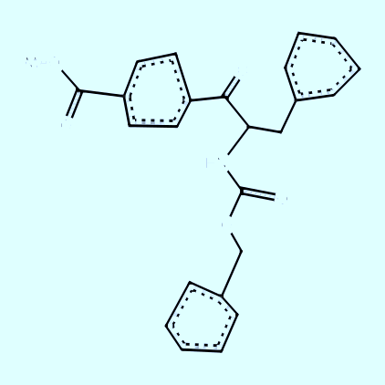 COC(=O)c1ccc(C(=O)C(Cc2ccccc2)NC(=O)OCc2ccccc2)cc1